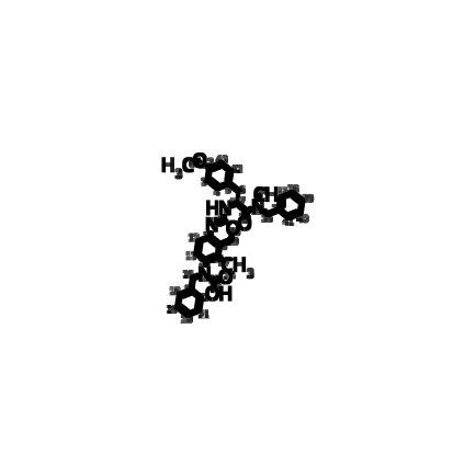 COc1ccc(C[C@H](NC2=Nc3ccc(N(Cc4ccccc4)C(=O)O)c(C)c3CO2)C(=O)N(C)Cc2ccccc2)cc1